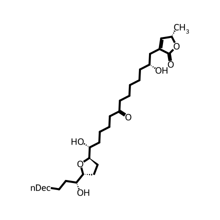 CCCCCCCCCCCC[C@@H](O)[C@H]1CC[C@H]([C@H](O)CCCCC(=O)CCCCC[C@@H](O)CC2=C[C@H](C)OC2=O)O1